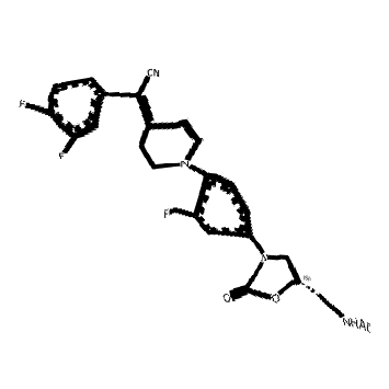 CC(=O)NC[C@H]1CN(c2ccc(N3CCC(=C(C#N)c4ccc(F)c(F)c4)CC3)c(F)c2)C(=O)O1